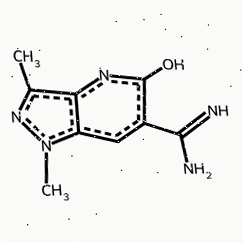 Cc1nn(C)c2cc(C(=N)N)c(O)nc12